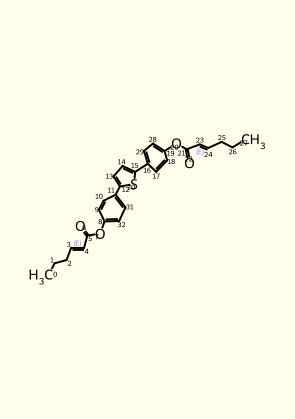 CCC/C=C/C(=O)Oc1ccc(-c2ccc(-c3ccc(OC(=O)/C=C/CCC)cc3)s2)cc1